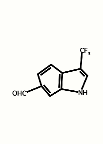 O=Cc1ccc2c(C(F)(F)F)c[nH]c2c1